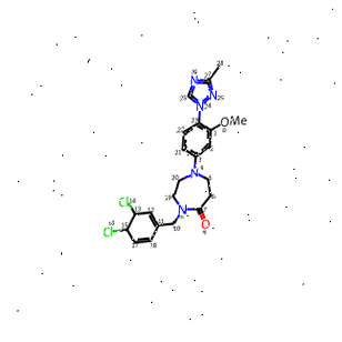 COc1cc(N2CCC(=O)N(CC3=CC(Cl)C(Cl)C=C3)CC2)ccc1-n1cnc(C)n1